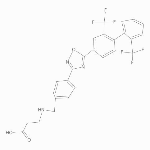 O=C(O)CCNCc1ccc(-c2noc(-c3ccc(-c4ccccc4C(F)(F)F)c(C(F)(F)F)c3)n2)cc1